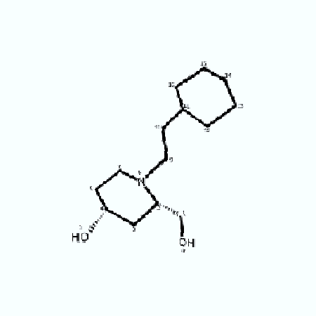 OC[C@@H]1C[C@H](O)CCN1CCC1CCCCC1